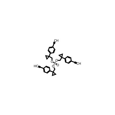 C#Cc1ccc(C2(COP(=O)(OCC3(c4ccc(C#C)cc4)CC3)OCC3(c4ccc(C#C)cc4)CC3)CC2)cc1